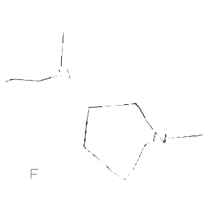 CN1C[C@@H](N(C)C)[C@@H](F)C1